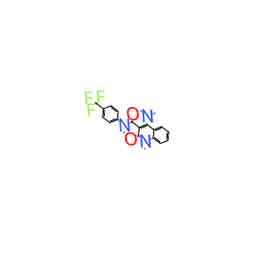 CN(C)c1c(C(=O)N(C)c2ccc(C(F)(F)F)cc2)c(=O)n(C)c2ccccc12